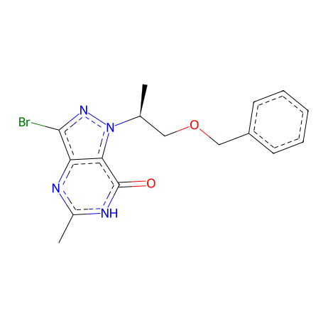 Cc1nc2c(Br)nn([C@@H](C)COCc3ccccc3)c2c(=O)[nH]1